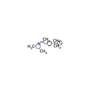 CC(=CN1CC(C)CC(C)C1)Cc1ccc(C(C)(C)c2ccccc2)cc1